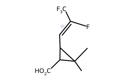 CC1(C)C(/C=C(\F)C(F)(F)F)C1C(=O)O